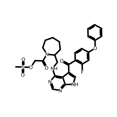 CS(=O)(=O)OCC(=O)N1CCCCCC1CNc1ncnc2[nH]cc(C(=O)c3ccc(Oc4ccccc4)cc3F)c12